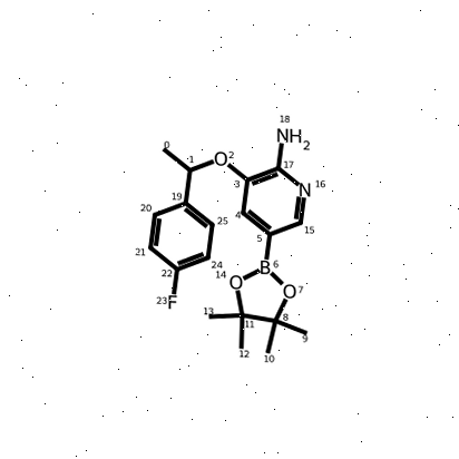 CC(Oc1cc(B2OC(C)(C)C(C)(C)O2)cnc1N)c1ccc(F)cc1